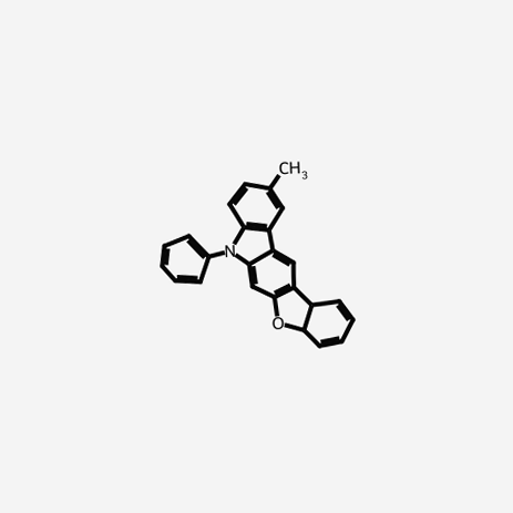 Cc1ccc2c(c1)c1cc3c(cc1n2-c1ccccc1)OC1C=CC=CC31